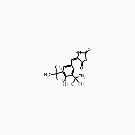 CC(C)(C)c1cc(C=C2NC(=O)SC2=O)cc(C(C)(C)C)c1O